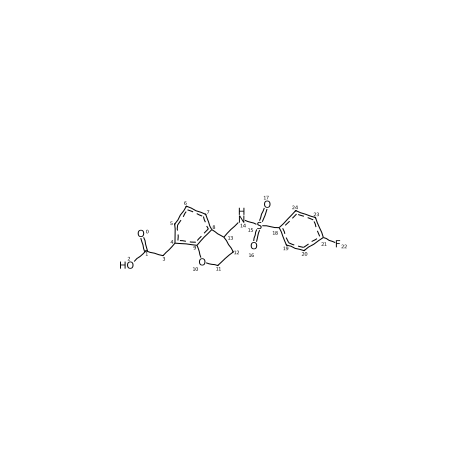 O=C(O)Cc1cccc2c1OCCC2NS(=O)(=O)c1ccc(F)cc1